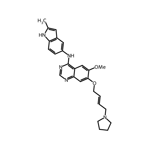 COc1cc2c(Nc3ccc4[nH]c(C)cc4c3)ncnc2cc1OC/C=C/CN1CCCC1